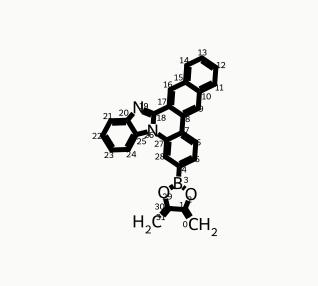 C=C1OB(c2ccc3c4cc5ccccc5cc4c4nc5ccccc5n4c3c2)OC1=C